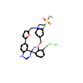 CS(=O)(=O)CCNCc1ccc(-c2ccc3c(c2)C(N)(c2cccc(Br)c2OCc2cccc(F)c2)N=CN3)o1.Cl.Cl